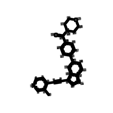 Cc1cnccc1C#Cc1cnc2ccc(-c3ccc(C(=O)N4CCOCC4)cc3)cn12